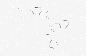 COc1ccc(C(=O)N2CCC(NC(=O)c3ccccc3Cl)C(c3ccccc3)C2)cc1OC